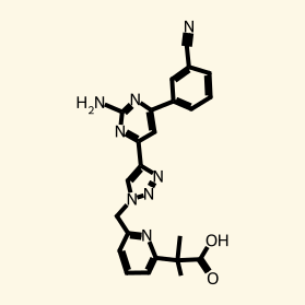 CC(C)(C(=O)O)c1cccc(Cn2cc(-c3cc(-c4cccc(C#N)c4)nc(N)n3)nn2)n1